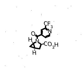 O=C(O)[C@H]1C[C@H]2C[C@H]2N1C(=O)c1ccnc(C(F)(F)F)c1